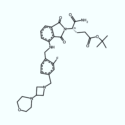 CC(C)(C)OC(=O)CC[C@@H](C(N)=O)N1C(=O)c2cccc(NCc3ccc(CN4CC(N5CCOCC5)C4)cc3F)c2C1=O